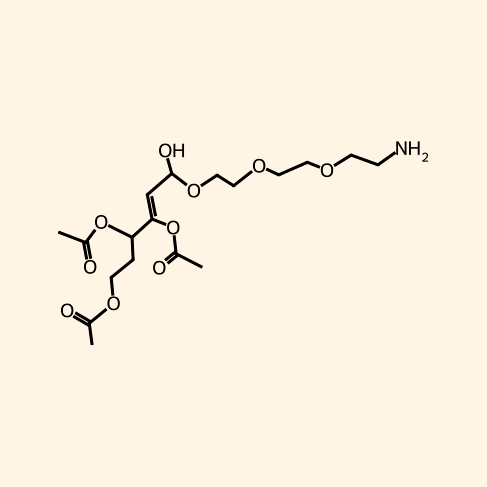 CC(=O)OCCC(OC(C)=O)/C(=C/C(O)OCCOCCOCCN)OC(C)=O